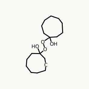 OC1(OOC2(O)CCCCCCCC2)CCCCCCCC1